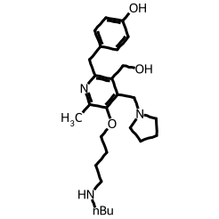 CCCCNCCCCOc1c(C)nc(Cc2ccc(O)cc2)c(CO)c1CN1CCCC1